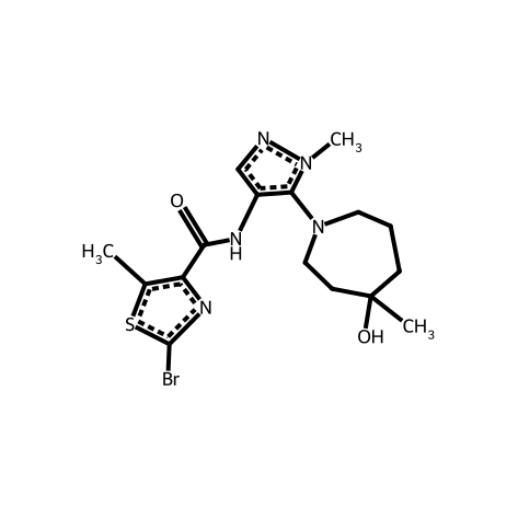 Cc1sc(Br)nc1C(=O)Nc1cnn(C)c1N1CCCC(C)(O)CC1